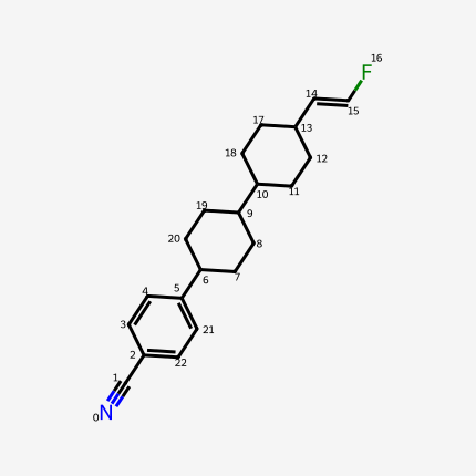 N#Cc1ccc(C2CCC(C3CCC(C=CF)CC3)CC2)cc1